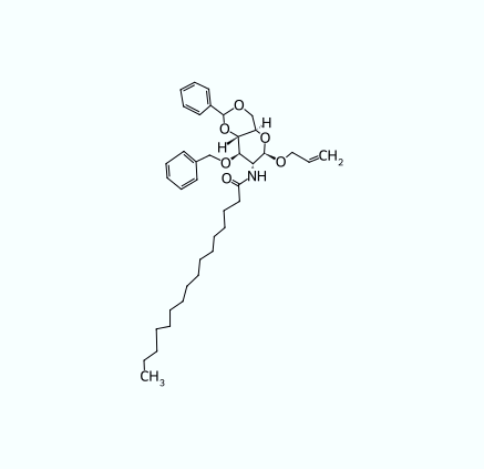 C=CCO[C@@H]1O[C@@H]2COC(c3ccccc3)O[C@H]2[C@H](OCc2ccccc2)[C@H]1NC(=O)CCCCCCCCCCCCCCC